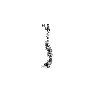 C=CC(=O)OCCCCCCCCCCOc1ccc(C(=O)Oc2ccc(OCOc3ccc(S(=O)(=O)O)cc3)cc2)cc1